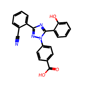 N#Cc1ccccc1-c1nc(-c2ccccc2O)n(-c2ccc(C(=O)O)cc2)n1